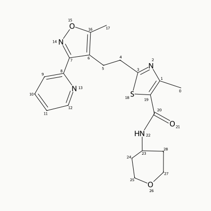 Cc1nc(CCc2c(-c3ccccn3)noc2C)sc1C(=O)NC1CCOCC1